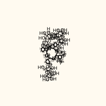 OCC1O[C@@H](O[C@@H]2C(CO)O[C@@H](Oc3cccc(-c4c5nc(c(-c6cccc(O[C@@H]7OC(CO)[C@@H](O[C@@H]8OC(CO)[C@H](O)C(O)C8O)C(O)[C@@H]7O)c6)c6ccc([nH]6)c(-c6cc(C(F)(F)F)cc(C(F)(F)F)c6)c6nc(c(-c7cccc(O[C@@H]8OC(CO)[C@@H](O[C@@H]9OC(CO)[C@H](O)C(O)C9O)C(O)C8O)c7)c7ccc4[nH]7)C(O)C6O)C=C5)c3)C(O)C2O)C(O)C(O)[C@H]1O